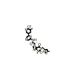 Cc1cc(Cn2c(=O)c3c(ncn3[C@@H](C)C(=O)Nc3cncc(-c4cnc(C(F)(F)F)c(C)c4)n3)n(C)c2=O)no1